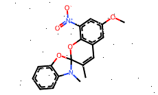 COc1cc2c(c([N+](=O)[O-])c1)OC1(Oc3ccccc3N1C)C(C)=C2